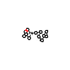 N#Cc1ccc(-c2ccccc2-c2ccc(-c3nc(-c4ccccc4)nc(-c4ccccc4-c4cc5ccccc5c5ccccc45)n3)cc2)cc1-c1ccccc1-c1ccc2c3c(cccc13)-c1ccccc1-2